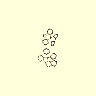 c1ccc(C2(c3ccc(-c4ccc5c(c4)C4(c6ccccc6O5)c5ccccc5-c5ccccc54)cc3)c3ccccc3-c3ccc4ccccc4c32)cc1